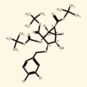 CC(C)(C)OC(=O)N[C@]1(C(=O)OC(C)(C)C)[C@@H]2[C@@H](C(=O)OC(C)(C)C)[C@@H]2[C@@H](O)[C@H]1OCc1ccc(Cl)c(Cl)c1